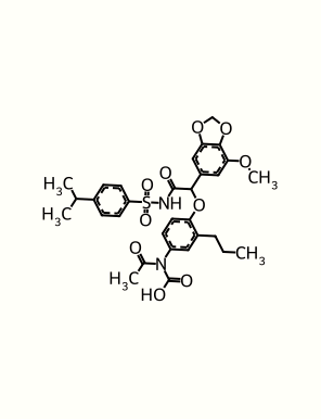 CCCc1cc(N(C(C)=O)C(=O)O)ccc1OC(C(=O)NS(=O)(=O)c1ccc(C(C)C)cc1)c1cc(OC)c2c(c1)OCO2